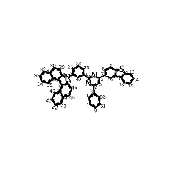 c1ccc(-c2cc(-c3ccc4sc5ccccc5c4c3)nc(-c3cccc(-n4c5ccc6ccccc6c5c5c6ccccc6ccc54)c3)n2)cc1